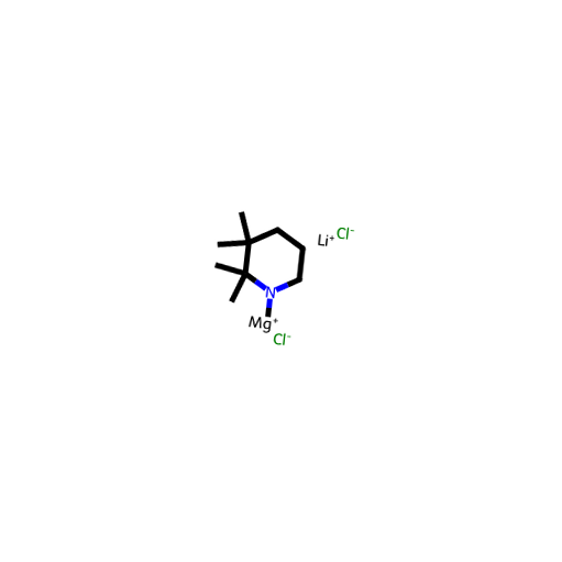 CC1(C)CCC[N]([Mg+])C1(C)C.[Cl-].[Cl-].[Li+]